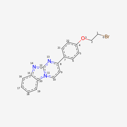 BrCCOc1ccc(-c2ccn3c(n2)nc2ccccc23)cc1